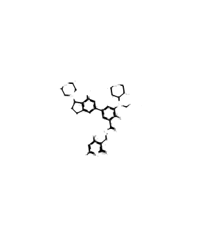 CCN(c1cc(-c2cc(F)c3c(c2)CCC3N2CCOCC2)cc(C(=O)NCc2c(C)cc(C)[nH]c2=O)c1C)C1CCOCC1